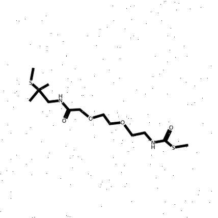 CSC(=O)NCCOCCOCC(=O)NCC(C)(C)SC